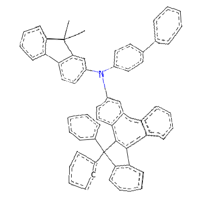 CC1(C)c2ccccc2-c2ccc(N(c3ccc(-c4ccccc4)cc3)c3ccc4c5c(c6ccccc6c4c3)-c3ccccc3C5(c3ccccc3)c3ccccc3)cc21